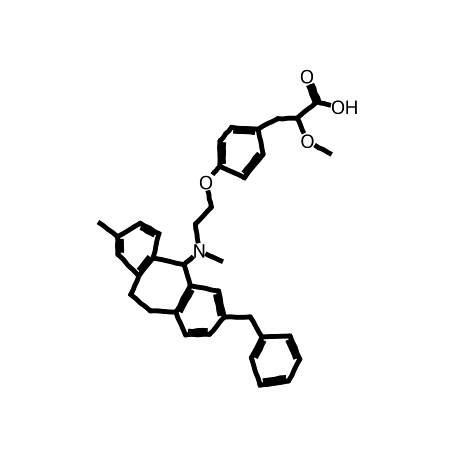 COC(Cc1ccc(OCCN(C)C2c3ccc(C)cc3CCc3ccc(Cc4ccccc4)cc32)cc1)C(=O)O